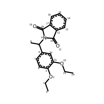 CCOc1ccc(C(C)N2C(=O)c3ccccc3C2=O)cc1OCC